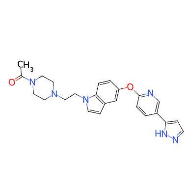 CC(=O)N1CCN(CCn2ccc3cc(Oc4ccc(-c5ccn[nH]5)cn4)ccc32)CC1